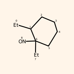 CCC1CCCCC1(CC)N=O